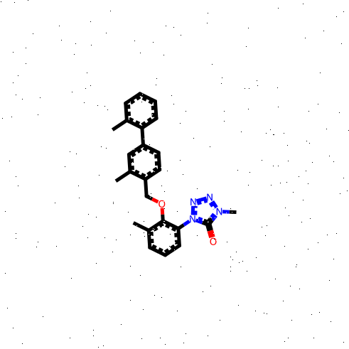 Cc1cc(-c2ccccc2C)ccc1COc1c(C)cccc1-n1nnn(C)c1=O